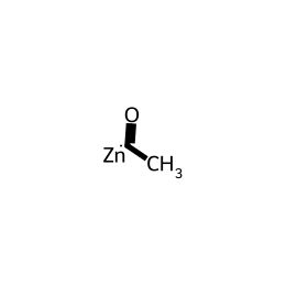 C[C]=O.[Zn]